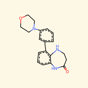 O=C1CCNc2c(cccc2-c2cccc(N3CCOCC3)c2)N1